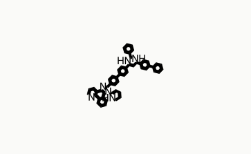 C1=CCNC(n2c(-c3ccc(-c4ccc(C5=CC(c6ccc(-c7ccccc7)cc6)NC(c6ccccc6)N5)cc4)cc3)nc3c4cccnc4c4ccccc4c32)=C1